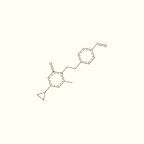 Cc1cc(C2CC2)cc(=O)n1CCc1ccc(C=O)cc1